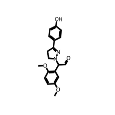 COc1ccc(OC)c(C(C=O)N2CCC(c3ccc(O)cc3)=N2)c1